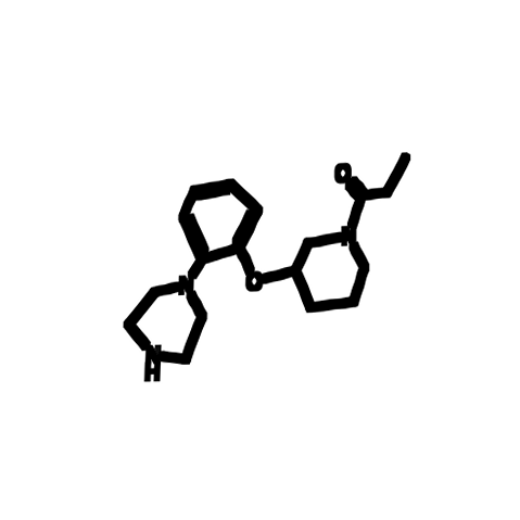 CCC(=O)N1CCCC(Oc2ccccc2N2CCNCC2)C1